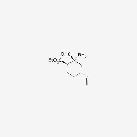 C=C[C@@H]1CC[C@@H](C(=O)OCC)[C@@](N)(C=O)C1